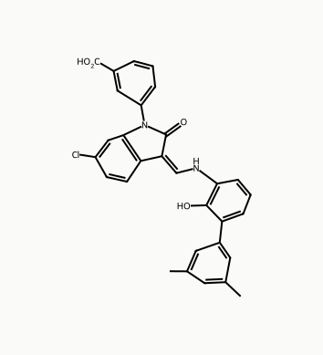 Cc1cc(C)cc(-c2cccc(N/C=C3\C(=O)N(c4cccc(C(=O)O)c4)c4cc(Cl)ccc43)c2O)c1